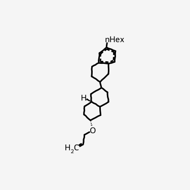 C=CCO[C@@H]1CC[C@@H]2CC(C3CCc4cc(CCCCCC)ccc4C3)CCC2C1